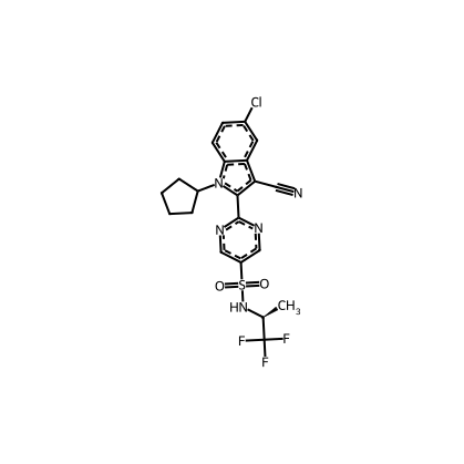 C[C@H](NS(=O)(=O)c1cnc(-c2c(C#N)c3cc(Cl)ccc3n2C2CCCC2)nc1)C(F)(F)F